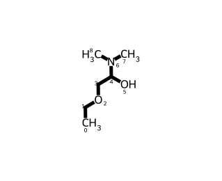 CCOCC(O)N(C)C